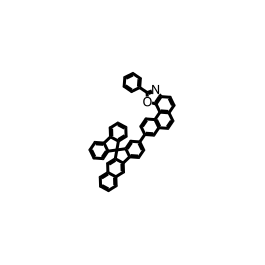 c1ccc(-c2nc3ccc4ccc5cc(-c6ccc7c(c6)C6(c8ccccc8-c8ccccc86)c6cc8ccccc8cc6-7)ccc5c4c3o2)cc1